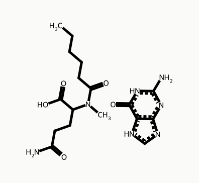 CCCCCC(=O)N(C)C(CCC(N)=O)C(=O)O.Nc1nc2nc[nH]c2c(=O)[nH]1